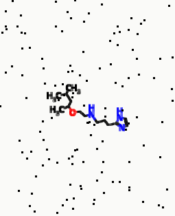 CC(C)CC(C)OCCNCCCc1ncc[nH]1